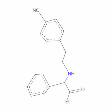 CCC(=O)C(NCCc1ccc(C#N)cc1)c1ccccc1